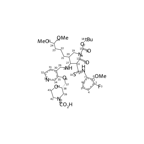 COc1c(F)cccc1NC(=S)C1C(=O)N(C(=O)OC(C)(C)C)CC(CCCC(OC)OC)C1NCc1ccncc1OC[C@@H]1CN(C(=O)O)CCO1